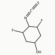 OC1CC(F)C(N=C=S)C(F)C1